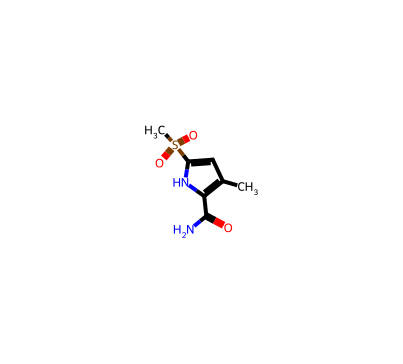 Cc1cc(S(C)(=O)=O)[nH]c1C(N)=O